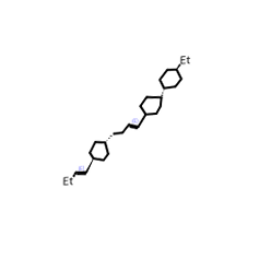 CC/C=C/[C@H]1CC[C@H](CC/C=C/C2CCC([C@H]3CC[C@H](CC)CC3)CC2)CC1